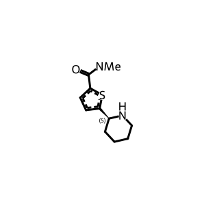 CNC(=O)c1ccc([C@@H]2CCCCN2)s1